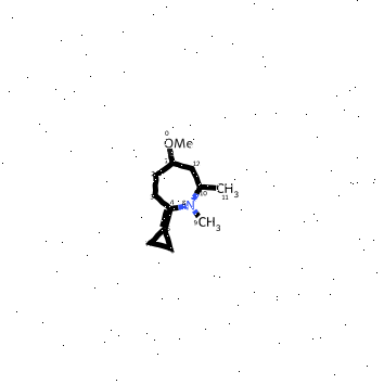 COC1CCC(=C2CC2)N(C)C(C)C1